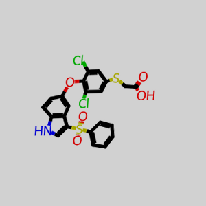 O=C(O)CSc1cc(Cl)c(Oc2ccc3[nH]cc(S(=O)(=O)c4ccccc4)c3c2)c(Cl)c1